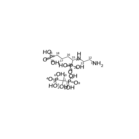 CC(O)(P(=O)(O)O)P(=O)(O)O.NCCNC(CCCP(=O)(O)O)P(=O)(O)O